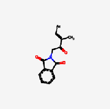 CC(=O)C=C(C)C(=O)CN1C(=O)c2ccccc2C1=O